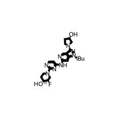 CCC(C)n1nc(N2CC[C@@H](O)C2)c2cnc(Nc3ccnc(N4CC[C@H](O)[C@H](F)C4)n3)cc21